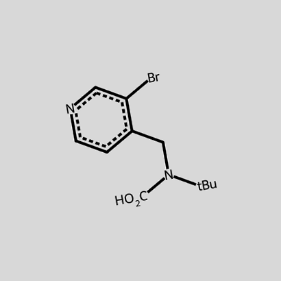 CC(C)(C)N(Cc1ccncc1Br)C(=O)O